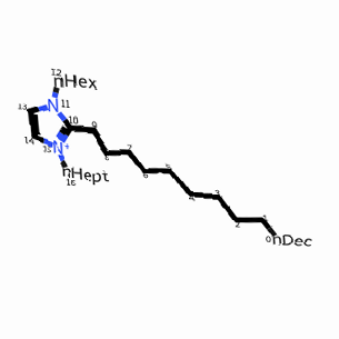 CCCCCCCCCCCCCCCCCCCc1n(CCCCCC)cc[n+]1CCCCCCC